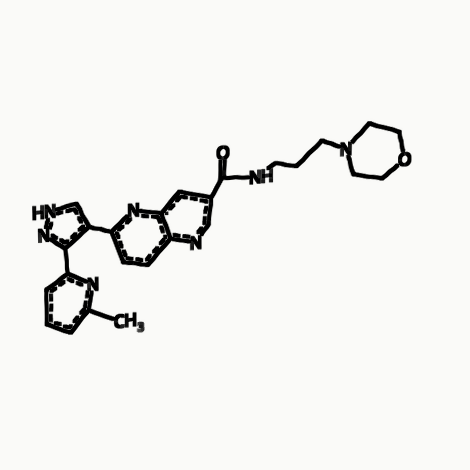 Cc1cccc(-c2n[nH]cc2-c2ccc3ncc(C(=O)NCCCN4CCOCC4)cc3n2)n1